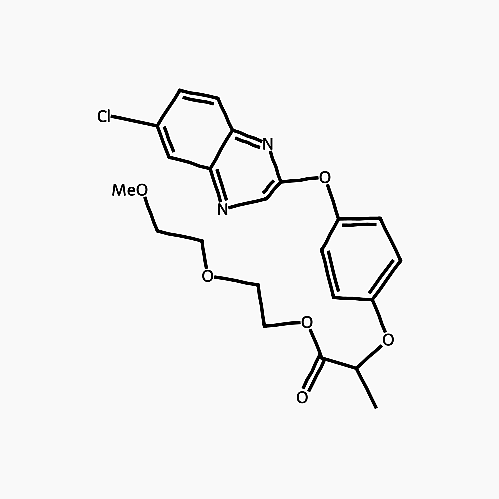 COCCOCCOC(=O)C(C)Oc1ccc(Oc2cnc3cc(Cl)ccc3n2)cc1